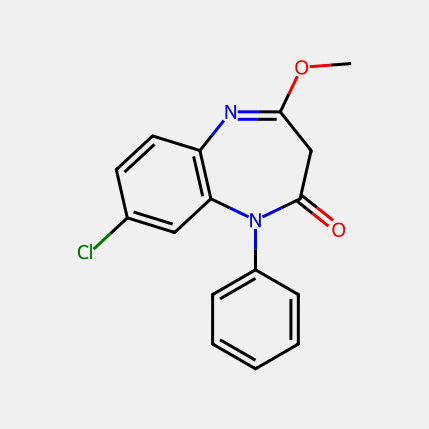 COC1=Nc2ccc(Cl)cc2N(c2ccccc2)C(=O)C1